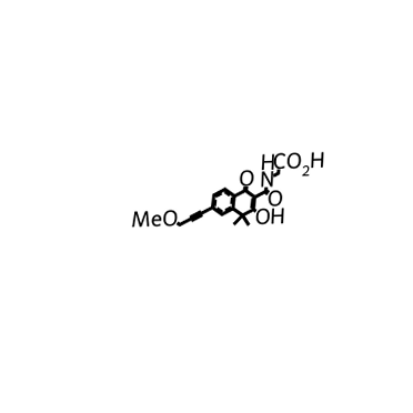 COCC#Cc1ccc2c(c1)C(C)(C)C(O)=C(C(=O)NCC(=O)O)C2=O